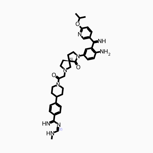 CN/C=N\C(=N)c1ccc(C2CCN(C(=O)CN3CC[C@]4(CCN(c5ccc(N)c(C(=N)c6ccc(OC(C)C)nc6)c5)C4=O)C3)CC2)cc1